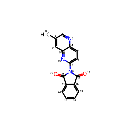 Cc1cnc2ccc(N3C(=O)c4ccccc4C3=O)nc2c1